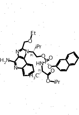 CCOCc1nc2c(N)nc3ccccc3c2n1[C@@H](CO[P@@](=O)(N[C@@H](C)C(=O)OC(C)C)Oc1ccc2ccccc2c1)C(C)C